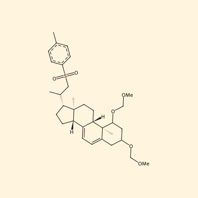 COCOC1CC2=CC=C3[C@@H]4CC[C@H](C(C)CS(=O)(=O)c5ccc(C)cc5)[C@@]4(C)CC[C@@H]3[C@@]2(C)C(OCOC)C1